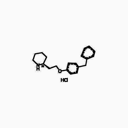 Cl.c1ccc(Cc2ccc(OCC[C@@H]3CCCCN3)cc2)cc1